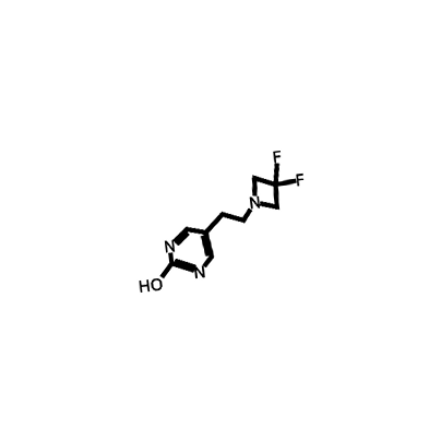 Oc1ncc(CCN2CC(F)(F)C2)cn1